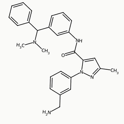 Cc1cc(C(=O)Nc2cccc(C(c3ccccc3)N(C)C)c2)n(-c2cccc(CN)c2)n1